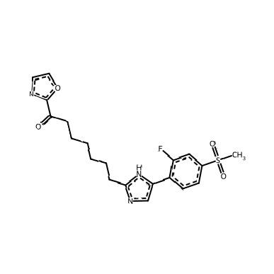 CS(=O)(=O)c1ccc(-c2cnc(CCCCCCC(=O)c3ncco3)[nH]2)c(F)c1